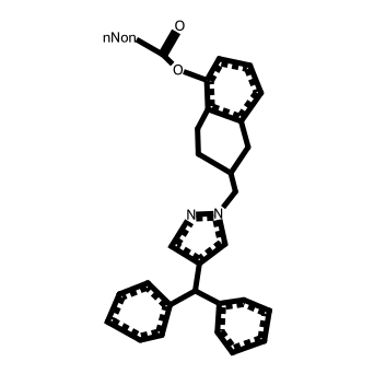 CCCCCCCCCC(=O)Oc1cccc2c1CCC(Cn1cc(C(c3ccccc3)c3ccccc3)cn1)C2